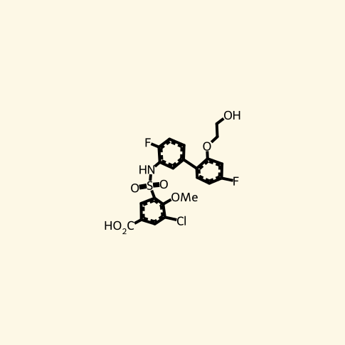 COc1c(Cl)cc(C(=O)O)cc1S(=O)(=O)Nc1cc(-c2ccc(F)cc2OCCO)ccc1F